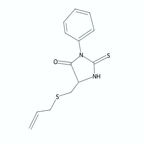 C=CCSCC1NC(=S)N(c2ccccc2)C1=O